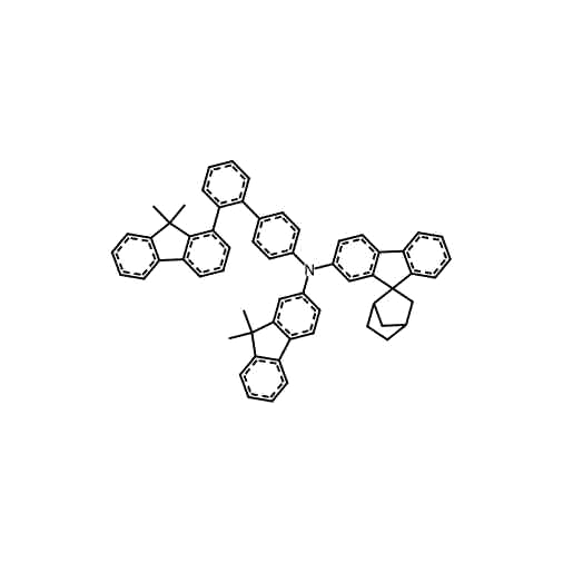 CC1(C)c2ccccc2-c2ccc(N(c3ccc(-c4ccccc4-c4cccc5c4C(C)(C)c4ccccc4-5)cc3)c3ccc4c(c3)C3(CC5CCC3C5)c3ccccc3-4)cc21